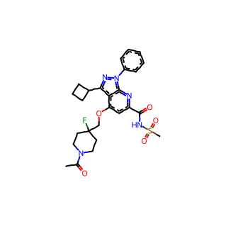 CC(=O)N1CCC(F)(COc2cc(C(=O)NS(C)(=O)=O)nc3c2c(C2CCC2)nn3-c2ccccc2)CC1